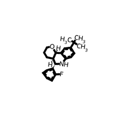 CC(C)(C)c1ccc2c(c1)[C@@H]1OCCC[C@@H]1[C@@H](c1ccccc1F)N2